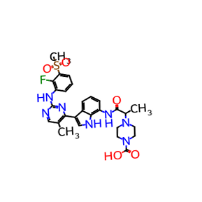 Cc1cnc(Nc2cccc(S(C)(=O)=O)c2F)nc1-c1c[nH]c2c(NC(=O)C(C)N3CCN(C(=O)O)CC3)cccc12